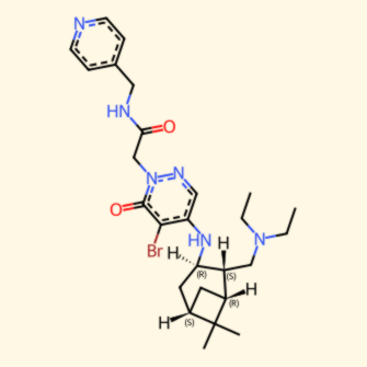 CCN(CC)C[C@@H]1[C@H]2C[C@@H](C[C@H]1Nc1cnn(CC(=O)NCc3ccncc3)c(=O)c1Br)C2(C)C